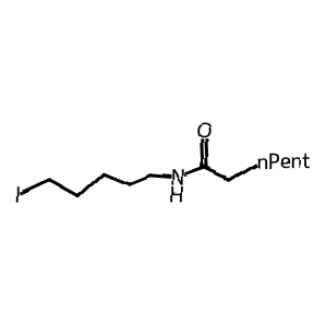 CCCCCCC(=O)NCCCCCI